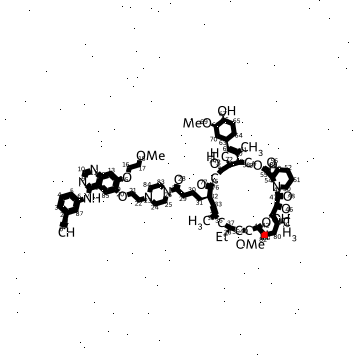 C#Cc1cccc(Nc2ncnc3cc(OCCOC)c(OCCN4CCN(C(=O)CCC[C@@H]5/C=C(\C)C[C@H](CC)CC[C@H]6O[C@@](O)(C(=O)C(=O)N7CCCC[C@H]7C(=O)OC[C@H](/C(C)=C/[C@@H]7CC[C@@H](O)[C@H](OC)C7)[C@H](C)[C@@H](O)CC5=O)[C@H](C)C[C@@H]6OC)CC4)cc23)c1